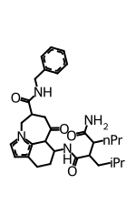 CCCC(C(N)=O)C(CC(C)C)C(=O)NC1CCc2ccn3c2C1C(=O)CC(C(=O)NCc1ccccc1)C3